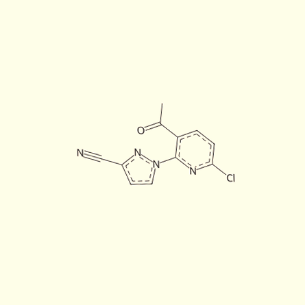 CC(=O)c1ccc(Cl)nc1-n1ccc(C#N)n1